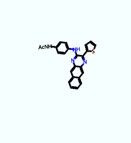 CC(=O)Nc1ccc(Nc2nc3cc4ccccc4cc3nc2-c2cccs2)cc1